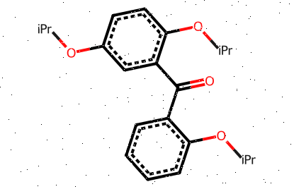 CC(C)Oc1ccc(OC(C)C)c(C(=O)c2ccccc2OC(C)C)c1